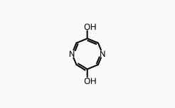 OC1=CN=CC(O)=CN=C1